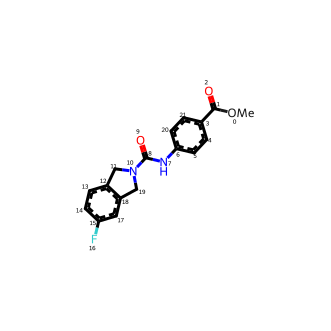 COC(=O)c1ccc(NC(=O)N2Cc3ccc(F)cc3C2)cc1